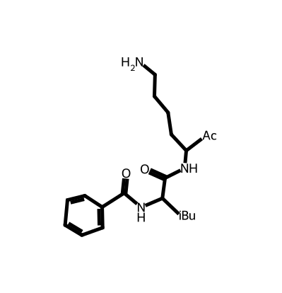 CCC(C)C(NC(=O)c1ccccc1)C(=O)NC(CCCCN)C(C)=O